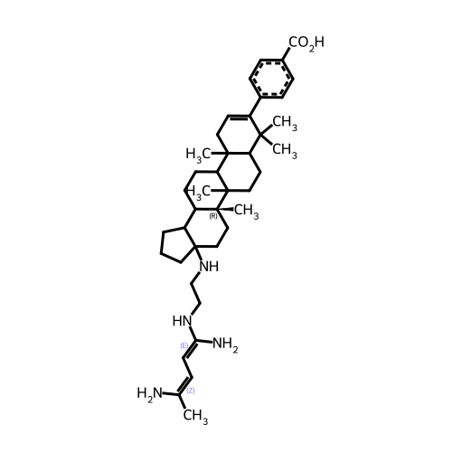 C/C(N)=C/C=C(\N)NCCNC12CCCC1C1CCC3C4(C)CC=C(c5ccc(C(=O)O)cc5)C(C)(C)C4CCC3(C)[C@]1(C)CC2